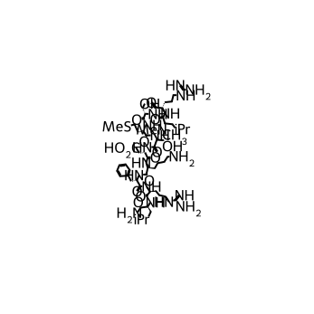 CN[C@@H](CC(C)C)C(=O)N[C@@H](CCCNC(=N)N)C(=O)N[C@@H](CO)C(=O)N[C@@H](CCSC)C(=O)N[C@H](C(=O)N[C@@H](CC(=O)O)C(=O)N[C@@H](CCCCN)C(=O)N[C@@H](Cc1ccccc1)C(=O)N[C@@H](CCCNC(=N)N)C(=O)N[C@@H](CC(C)C)C(N)=O)[C@@H](C)O